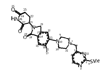 CSc1nccc(CN2CCN(c3cc4c(cc3F)C(=O)N(C3CCC(=O)NC3=O)C4)CC2)n1